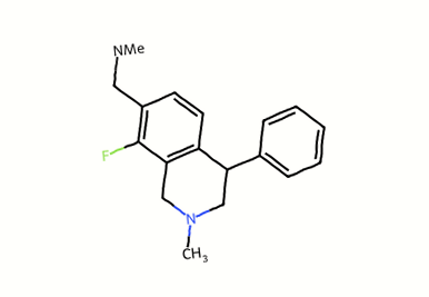 CNCc1ccc2c(c1F)CN(C)CC2c1ccccc1